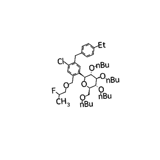 CCCCOC[C@H]1O[C@@H](c2cc(Cc3ccc(CC)cc3)c(Cl)cc2COCC(C)F)[C@H](OCCCC)[C@@H](OCCCC)[C@@H]1OCCCC